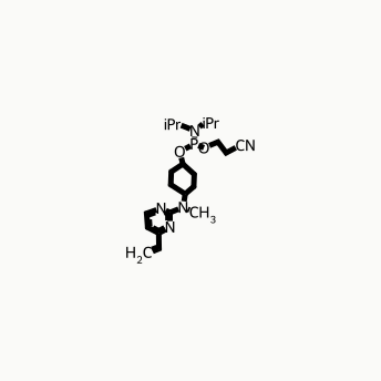 C=Cc1ccnc(N(C)C2CCC(OP(OCCC#N)N(C(C)C)C(C)C)CC2)n1